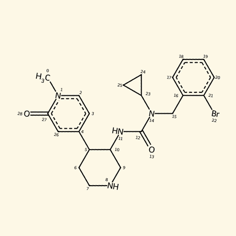 Cn1ccc(C2CCNCC2NC(=O)N(Cc2ccccc2Br)C2CC2)cc1=O